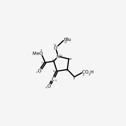 COC(=O)C1C(=C=O)C(CC(=O)O)CN1OC(C)(C)C